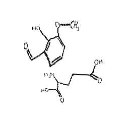 COc1cccc(C=O)c1O.NC(CCC(=O)O)C(=O)O